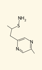 Cc1cnc(CC(C)SN)cn1